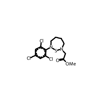 COC(=O)CN1CCCCN(c2c(Cl)cc(Cl)cc2Cl)S1